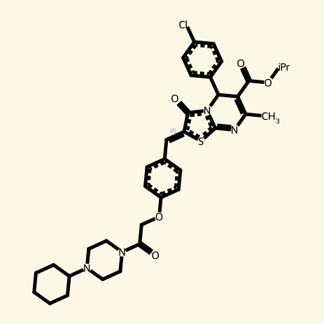 CC1=C(C(=O)OC(C)C)C(c2ccc(Cl)cc2)n2c(s/c(=C\c3ccc(OCC(=O)N4CCN(C5CCCCC5)CC4)cc3)c2=O)=N1